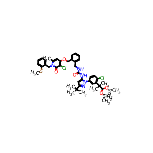 C[SiH2]OC(O[SiH2]C)C(C)(C)c1cc(-n2nc(C(C)(C)C)cc2NC(=O)NCc2ccccc2COc2cc(C)n(Cc3ccccc3SC)c(=O)c2Cl)ccc1Cl